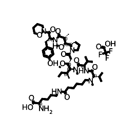 CC[C@H](C)[C@@H]([C@@H](CC(=O)N1CCC[C@H]1[C@H](OC)[C@@H](C)C(=O)N[C@@H](Cc1ccc(O)cc1)C(=O)N1CCCCO1)OC)N(C)C(=O)[C@@H](NC(=O)[C@H](C(C)C)N(C)CCCCCC(=O)NCCCC[C@H](N)C(=O)O)C(C)C.O=C(O)C(F)(F)F